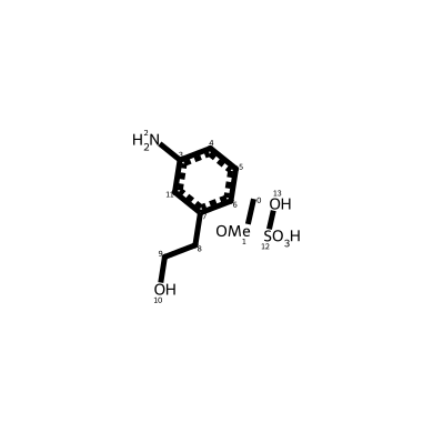 COC.Nc1cccc(CCO)c1.O=S(=O)(O)O